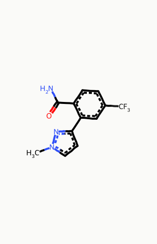 Cn1ccc(-c2cc(C(F)(F)F)ccc2C(N)=O)n1